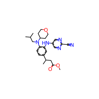 COC(=O)CC(C)c1ccc(N(CC(C)C)C2CCOCC2)c(Nc2cnc(C#N)nc2)c1